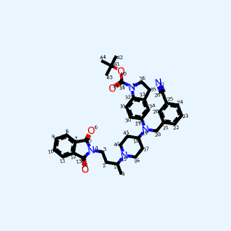 CC(CCN1C(=O)c2ccccc2C1=O)N1CCC(N(Cc2cccc(C#N)c2)c2ccc3c(c2)CCN3C(=O)OC(C)(C)C)CC1